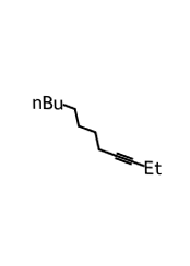 [CH2]CCCCCCCC#CCC